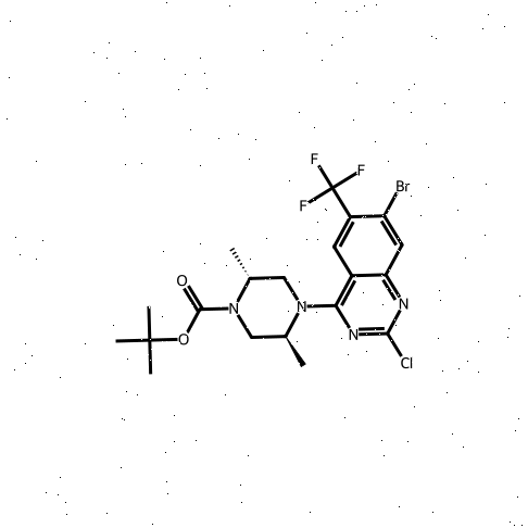 C[C@@H]1CN(c2nc(Cl)nc3cc(Br)c(C(F)(F)F)cc23)[C@@H](C)CN1C(=O)OC(C)(C)C